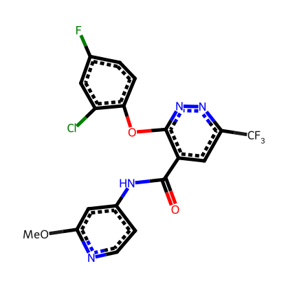 COc1cc(NC(=O)c2cc(C(F)(F)F)nnc2Oc2ccc(F)cc2Cl)ccn1